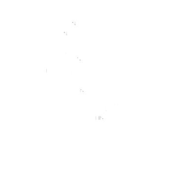 Cc1ccc(NC(=O)c2c(C)c(C(=O)C(=O)NC3(c4nncs4)CC(F)(F)C3)n3c2CCC3)cc1